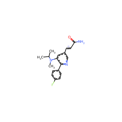 CC(C)N(C)c1cc(/C=C/C(N)=O)cnc1-c1ccc(F)cc1